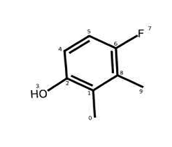 Cc1c(O)ccc(F)c1C